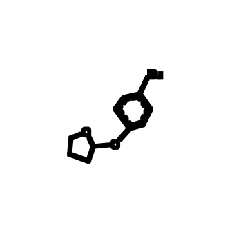 CCC(C)c1ccc(OC2CCCO2)cc1